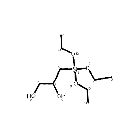 CCO[Si](CC(O)CO)(OCC)OCC